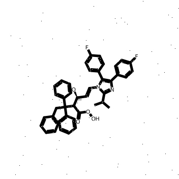 CC(C)c1nc(-c2ccc(F)cc2)c(-c2ccc(F)cc2)n1C=C[C@H](O)C(C(=O)OO)C(Cc1ccccc1)(c1ccccc1)c1ccccc1